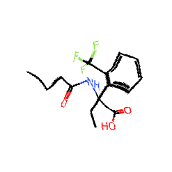 CCCC(=O)NC(CC)(C(=O)O)c1ccccc1C(F)(F)F